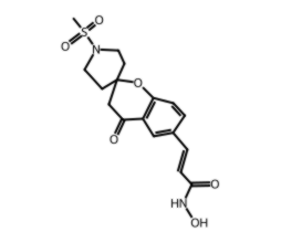 CS(=O)(=O)N1CCC2(CC1)CC(=O)c1cc(C=CC(=O)NO)ccc1O2